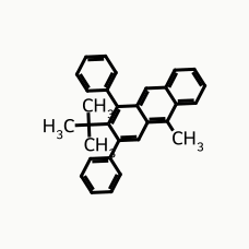 Cc1c2ccccc2cc2c(-c3ccccc3)c(C(C)(C)C)c(-c3ccccc3)cc12